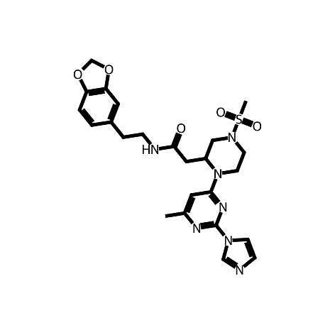 Cc1cc(N2CCN(S(C)(=O)=O)CC2CC(=O)NCCc2ccc3c(c2)OCO3)nc(-n2ccnc2)n1